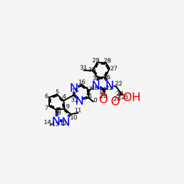 Cc1nc(-c2cccc3c2c(C)nn3C)ncc1-n1c(=O)n(CC(=O)O)c2cccc(C)c21